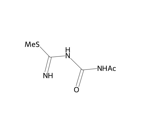 CSC(=N)NC(=O)NC(C)=O